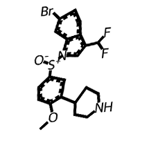 COc1ccc([S+]([O-])n2cc(C(F)F)c3ccc(Br)cc32)cc1C1CCNCC1